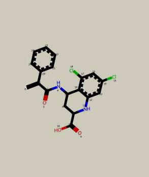 C=C(C(=O)NC1CC(C(=O)O)Nc2cc(Cl)cc(Cl)c21)c1ccccc1